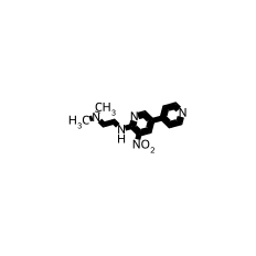 CN(C)CCNc1ncc(-c2ccncc2)cc1[N+](=O)[O-]